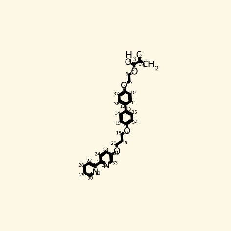 C=C(C)C(=O)OCCOc1ccc(-c2ccc(OCCCOc3ccc(-c4ccccn4)nc3)cc2)cc1